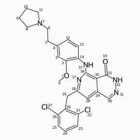 COc1cc(CCN2CCCC2)ccc1Nc1nc(Cc2c(Cl)cccc2Cl)cc2cn[nH]c(=O)c12